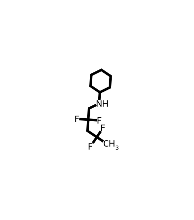 CC(F)(F)CC(F)(F)CNC1CCCCC1